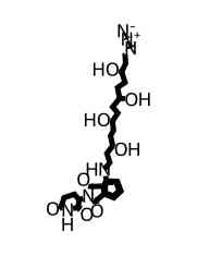 [N-]=[N+]=NCCC(O)CCC(O)CCC(O)CCC(O)CCNc1cccc2c1C(=O)N(C1CCC(=O)NC1=O)C2=O